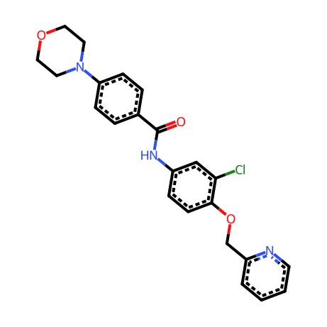 O=C(Nc1ccc(OCc2ccccn2)c(Cl)c1)c1ccc(N2CCOCC2)cc1